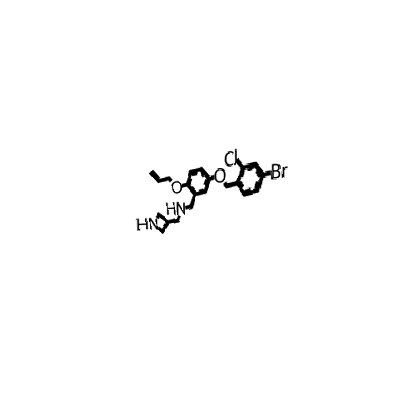 C=CCOc1ccc(OCc2ccc(Br)cc2Cl)cc1CNCC1CNC1